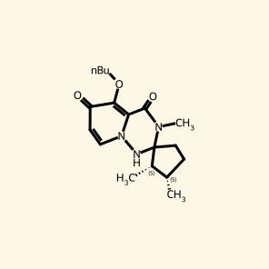 CCCCOc1c2n(ccc1=O)NC1(CC[C@H](C)[C@@H]1C)N(C)C2=O